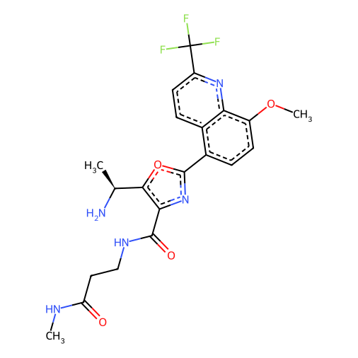 CNC(=O)CCNC(=O)c1nc(-c2ccc(OC)c3nc(C(F)(F)F)ccc23)oc1[C@H](C)N